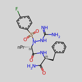 CCC[C@@H](C(=O)N[C@@H](Cc1ccccc1)C(N)=O)N(NC(=N)N)S(=O)(=O)c1ccc(F)cc1